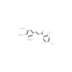 COc1cc(/C=C/C(=O)c2ccc(O)cc2O)cc(OC)c1OC